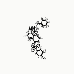 Cc1ccc(S(=O)(=O)Oc2cccc3c(S(=O)(=O)NCCc4ccccc4)cccc23)cc1